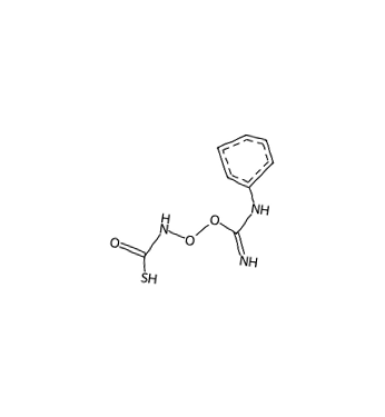 N=C(Nc1ccccc1)OONC(=O)S